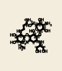 NCCCN[C@H]1[C@@H](OC2[C@@H](N)C[C@@H](NC(CO)CO)[C@H](O[C@H]3O[C@H](CO)[C@@H](O)[C@H](N)[C@H]3O)[C@H]2O)O[C@H](CN)[C@@H](O)[C@@H]1O